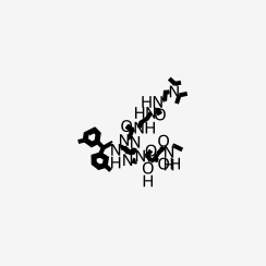 CCNC(=O)C1OC(n2cnc3c(NCC(c4cccc(C)c4)c4cccc(C)c4)nc(C(=O)NCCNC(=O)NCCN(C(C)C)C(C)C)nc32)C(O)C1O